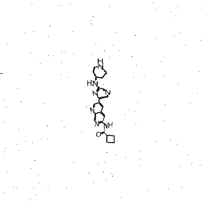 O=C(Nc1cc2cc(-c3cncc(NC4CCNCC4)n3)cnc2cn1)C1CCC1